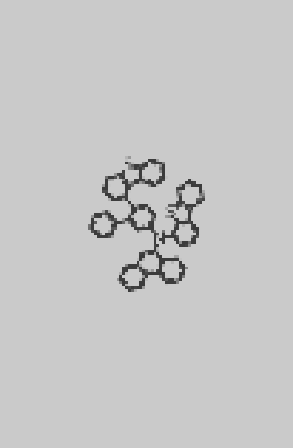 c1ccc(-c2cc(N(c3cc4ccccc4c4ccccc34)c3cccc4c3sc3ccccc34)ccc2-c2cccc3sc4ccccc4c23)cc1